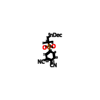 CCCCCCCCCCCC(C)(C)S(=O)(=O)c1ccc(C#N)c(C#N)c1